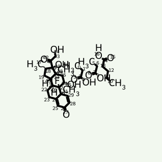 CCC(=O)O.CCC(=O)O.CCCCC(=O)O.C[C@H]1C[C@H]2[C@@H]3CCC4=CC(=O)C=C[C@]4(C)[C@@]3(F)[C@@H](O)C[C@]2(C)[C@@]1(O)C(=O)CO